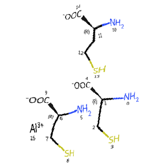 N[C@@H](CS)C(=O)[O-].N[C@@H](CS)C(=O)[O-].N[C@@H](CS)C(=O)[O-].[Al+3]